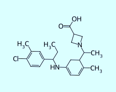 CCC(NC1=CC=C(C)C(C(C)N2CC(C(=O)O)C2)C1)c1ccc(Cl)c(C)c1